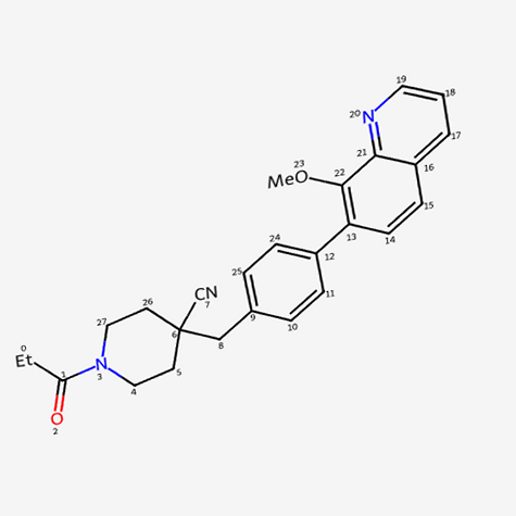 CCC(=O)N1CCC(C#N)(Cc2ccc(-c3ccc4cccnc4c3OC)cc2)CC1